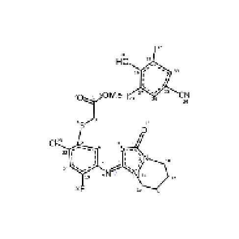 COC(=O)CSc1cc(/N=c2\sc(=O)n3n2CCCC3)c(F)cc1Cl.N#Cc1cc(I)c(O)c(I)c1